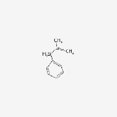 C=C(C)[SiH2]c1ccccc1